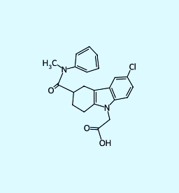 CN(C(=O)C1CCc2c(c3cc(Cl)ccc3n2CC(=O)O)C1)c1ccccc1